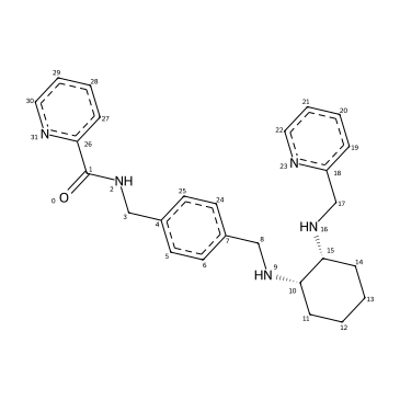 O=C(NCc1ccc(CN[C@H]2CCCC[C@H]2NCc2ccccn2)cc1)c1ccccn1